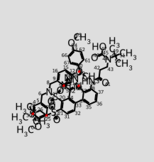 COc1ccc(CN(Cc2ccc(OC)cc2)S(=O)(=O)c2c(S(=O)(=O)CC[Si](C)(C)C)ccc(-c3cccc(NC(=O)CCN(C(=O)O)C(C)(C)C)c3N)c2-c2nnn(Cc3ccc(OC)cc3)n2)cc1